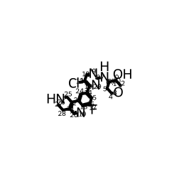 O[C@@H]1COCC[C@H]1Nc1ncc(Cl)c(-c2cc(F)c3ncc4c(c3c2)CNCC4)n1